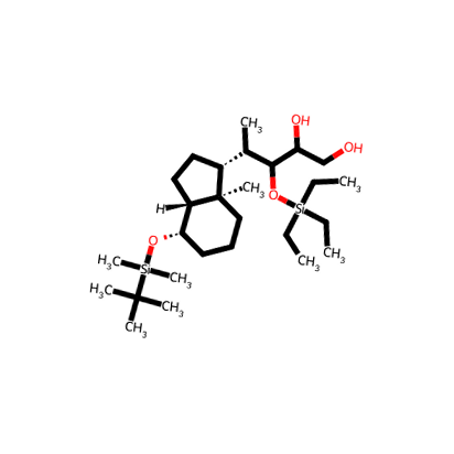 CC[Si](CC)(CC)OC(C(O)CO)C(C)[C@H]1CC[C@H]2[C@@H](O[Si](C)(C)C(C)(C)C)CCC[C@]12C